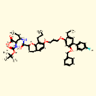 CCCc1c(OCCCOc2cc(OCc3ccccc3)c(-c3ccc(F)cc3)cc2CC)ccc2c1OC(C(=O)NC(CC)C(NC(=O)OC(C)(C)C)C(=O)O)CC2